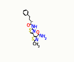 Cc1nc(C(N)=O)c(-c2csc(NC(=O)[CH]CCc3ccccc3)n2)s1